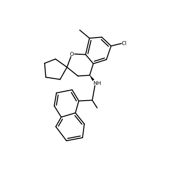 Cc1cc(Cl)cc2c1OC1(CCCC1)C[C@@H]2NC(C)c1cccc2ccccc12